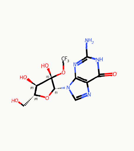 Nc1nc2c(ncn2[C@@H]2O[C@H](CO)[C@@H](O)[C@]2(O)OC(F)(F)F)c(=O)[nH]1